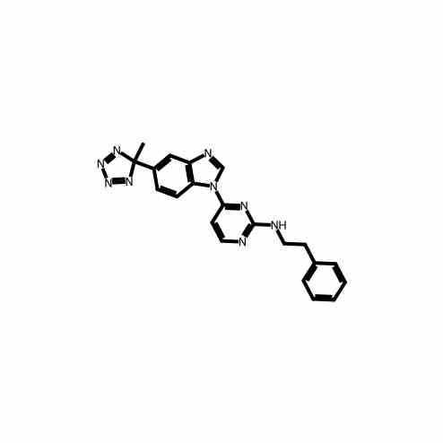 CC1(c2ccc3c(c2)ncn3-c2ccnc(NCCc3ccccc3)n2)N=NN=N1